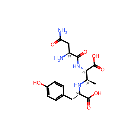 C[C@@H](N[C@@H](Cc1ccc(O)cc1)C(=O)O)[C@H](NC(=O)[C@@H](N)CC(N)=O)C(=O)O